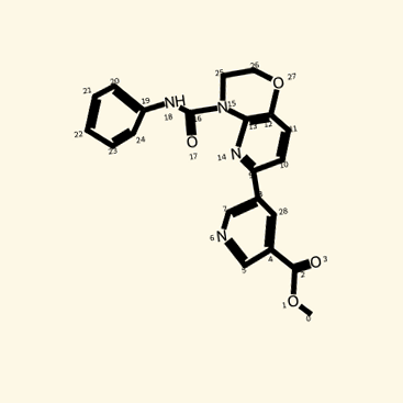 COC(=O)c1cncc(-c2ccc3c(n2)N(C(=O)Nc2ccccc2)CCO3)c1